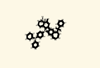 CC1=Cc2c(n(-c3ccc(N(C4=CC=CCC4)c4ccccc4)cc3)c3cc4c(cc23)=C(C(C)(C)c2ccccc2)C=CC=C=4)C2=CCC[C@@H](C)[C@H]12